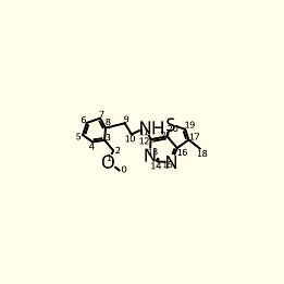 COCc1ccccc1CCNc1ncnc2c(C)csc12